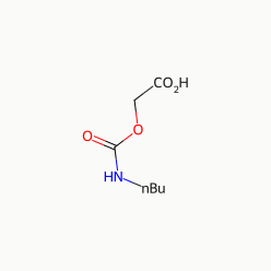 CCCCNC(=O)OCC(=O)O